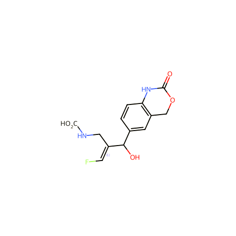 O=C(O)NC/C(=C\F)C(O)c1ccc2c(c1)COC(=O)N2